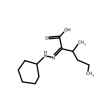 CCCC(C)C(=NNC1CCCCC1)C(=O)O